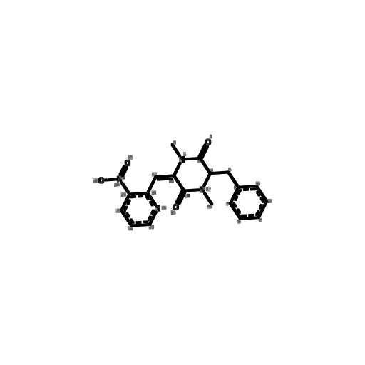 CN1C(=O)C(Cc2ccccc2)N(C)C(=O)/C1=C\c1ncccc1[N+](=O)[O-]